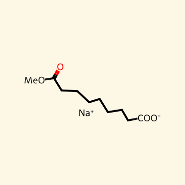 COC(=O)CCCCCCCC(=O)[O-].[Na+]